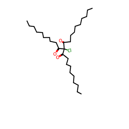 CCCCCCCCCC(=O)C(Cl)(C(=O)CCCCCCCCC)C(=O)CCCCCCCCC